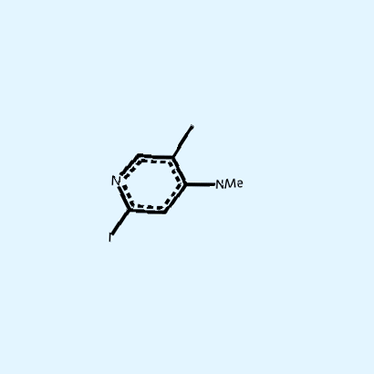 CNc1cc(I)ncc1C